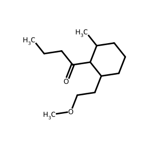 CCCC(=O)C1C(C)CCCC1CCOC